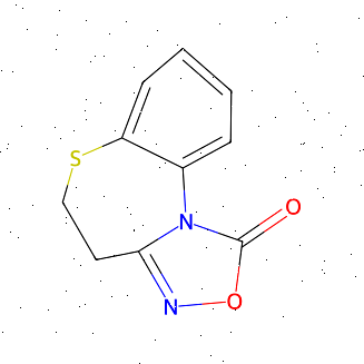 O=c1onc2n1-c1ccccc1SCC2